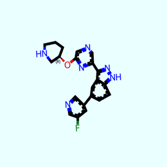 Fc1cncc(-c2ccc3[nH]nc(-c4cncc(O[C@@H]5CCCNC5)n4)c3c2)c1